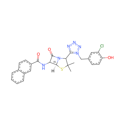 CC1(C)S[C@H]2C(NC(=O)c3ccc4ccccc4c3)C(=O)N2C1c1nnnn1Cc1ccc(O)c(Cl)c1